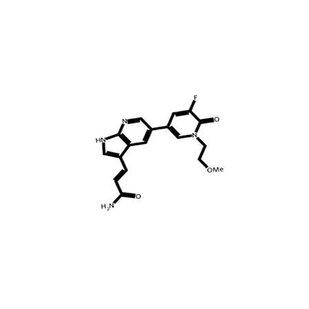 COCCn1cc(-c2cnc3[nH]cc(C=CC(N)=O)c3c2)cc(F)c1=O